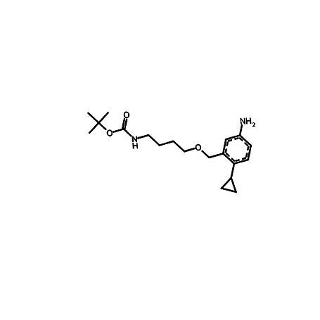 CC(C)(C)OC(=O)NCCCCOCc1cc(N)ccc1C1CC1